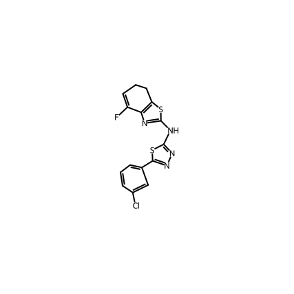 FC1=CCCc2sc(Nc3nnc(-c4cccc(Cl)c4)s3)nc21